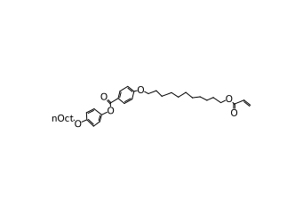 C=CC(=O)OCCCCCCCCCCCOc1ccc(C(=O)Oc2ccc(OCCCCCCCC)cc2)cc1